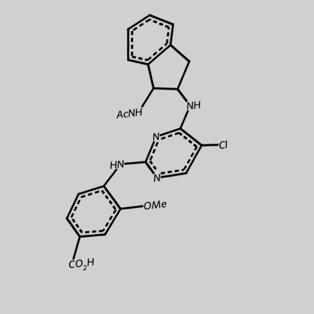 COc1cc(C(=O)O)ccc1Nc1ncc(Cl)c(NC2Cc3ccccc3C2NC(C)=O)n1